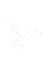 COCCNC(=O)c1ccc2c(-c3ccc(C(=O)O)cc3)cc(C(=O)c3c(Cl)cccc3Cl)n2c1